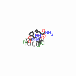 CC(C)(OC(=O)N[C@H](C(=O)N1C[C@H]2[C@@H]([C@H]1C(=O)NC(CC1CCC1)C(=O)C(N)=O)C2(Cl)Cl)C1CCCCC1)C(F)(F)F